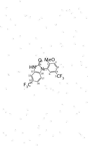 COc1ccc(C(F)(F)F)cc1-n1c(=O)[nH]c2cc(C(F)(F)F)ccc21